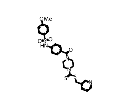 COc1ccc(S(=O)(=O)Nc2ccc(C(=O)N3CCN(C(=S)SCc4cccnc4)CC3)cc2)cc1